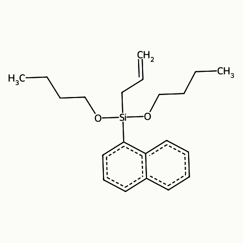 C=CC[Si](OCCCC)(OCCCC)c1cccc2ccccc12